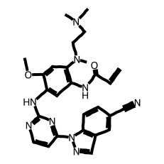 C=CC(=O)Nc1cc(Nc2nccc(-n3ncc4cc(C#N)ccc43)n2)c(OC)cc1N(C)CCN(C)C